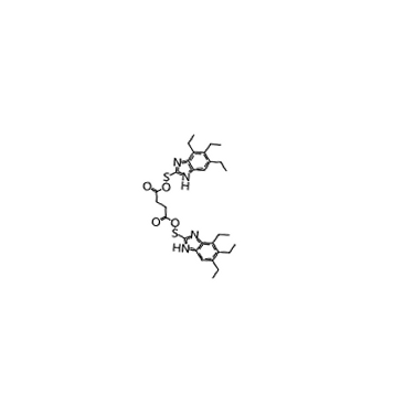 CCc1cc2[nH]c(SOC(=O)CCC(=O)OSc3nc4c(CC)c(CC)c(CC)cc4[nH]3)nc2c(CC)c1CC